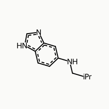 CC(C)CNc1ccc2[nH]cnc2c1